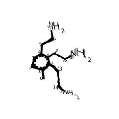 Cc1ccc(CCN)c(CCN)c1CCN